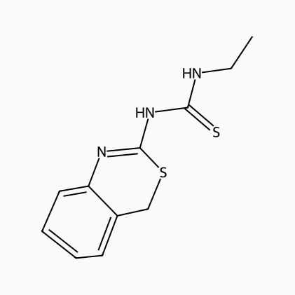 CCNC(=S)NC1=Nc2ccccc2CS1